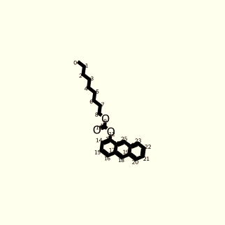 CCCCCCCCCOC(=O)Oc1cccc2cc3ccccc3cc12